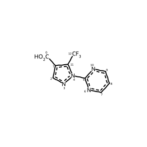 O=C(O)c1cnn(-c2ncccn2)c1C(F)(F)F